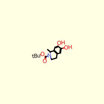 CC1c2cc(O)c(O)cc2CCN1C(=O)OC(C)(C)C